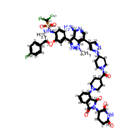 C[C@H](Oc1cc(-c2nn(C)c3c(-c4cnn(C5CCN(C(=O)C6CCN(c7cccc8c7C(=O)N(C7CCC(=O)NC7=O)C8=O)CC6)CC5)c4)cnc(N)c23)ccc1NS(=O)(=O)C(F)F)c1ccc(F)cc1